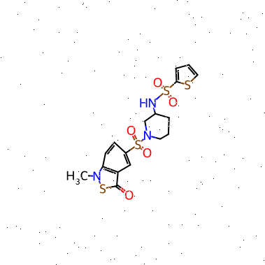 Cn1sc(=O)c2cc(S(=O)(=O)N3CCCC(NS(=O)(=O)c4cccs4)C3)ccc21